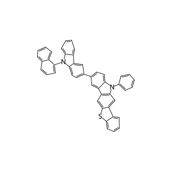 c1ccc(-n2c3ccc(-c4ccc5c(c4)c4ccccc4n5-c4cccc5ccccc45)cc3c3cc4sc5ccccc5c4cc32)cc1